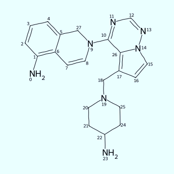 Nc1cccc2c1C=CN(c1ncnn3ccc(CN4CCC(N)CC4)c13)C2